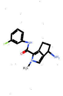 Cn1cc2c(c1C(=O)Nc1cccc(F)c1)CCC2N